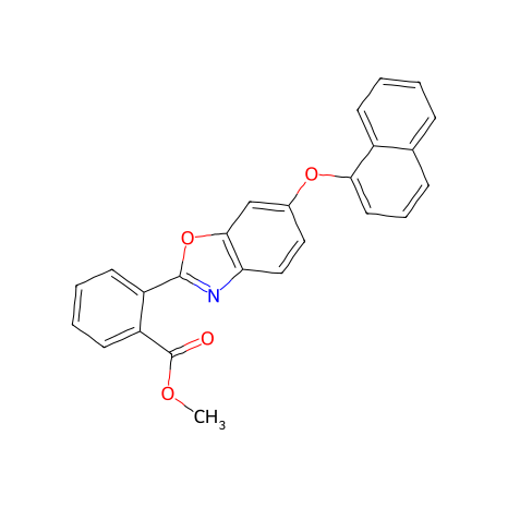 COC(=O)c1ccccc1-c1nc2ccc(Oc3cccc4ccccc34)cc2o1